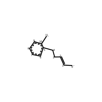 [CH2]C=CCCc1ccccc1[CH2]